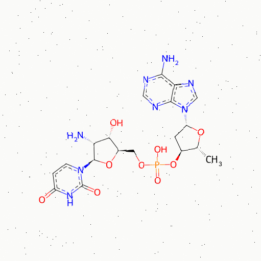 C[C@H]1O[C@@H](n2cnc3c(N)ncnc32)C[C@@H]1OP(=O)(O)OC[C@H]1O[C@@H](n2ccc(=O)[nH]c2=O)[C@H](N)[C@@H]1O